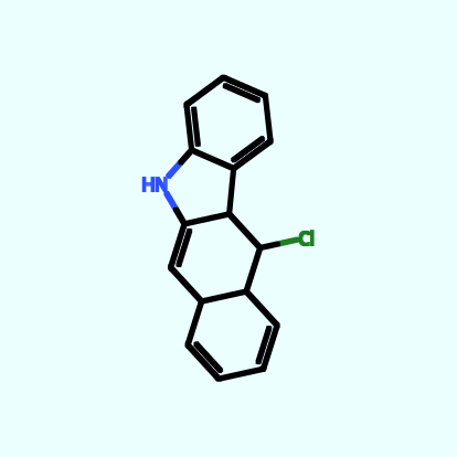 ClC1C2C(=CC3C=CC=CC31)Nc1ccccc12